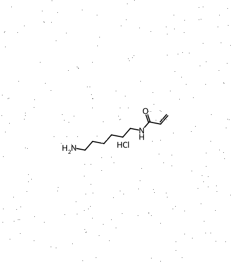 C=CC(=O)NCCCCCCN.Cl